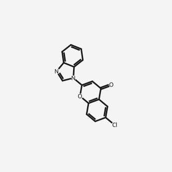 O=c1cc(-n2cnc3ccccc32)oc2ccc(Cl)cc12